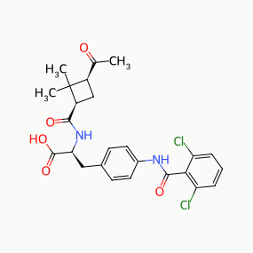 CC(=O)[C@H]1C[C@@H](C(=O)N[C@@H](Cc2ccc(NC(=O)c3c(Cl)cccc3Cl)cc2)C(=O)O)C1(C)C